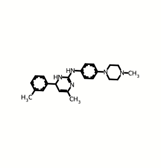 CC1=CC(c2cccc(C)c2)NC(Nc2ccc(N3CCN(C)CC3)cc2)=N1